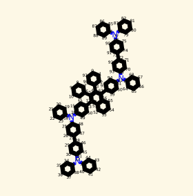 c1ccc(-c2c(-c3ccccc3)c(-c3ccc(N(c4ccccc4)c4ccc(-c5ccc(N(c6ccccc6)c6ccccc6)cc5)cc4)cc3)c3ccccc3c2-c2ccc(N(c3ccccc3)c3ccc(-c4ccc(N(c5ccccc5)c5ccccc5)cc4)cc3)cc2)cc1